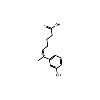 C/C(=C/CCCC(=O)O)c1cccc(O)c1